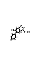 O=CC1COc2cc(O)c(-c3ccccc3)cc21